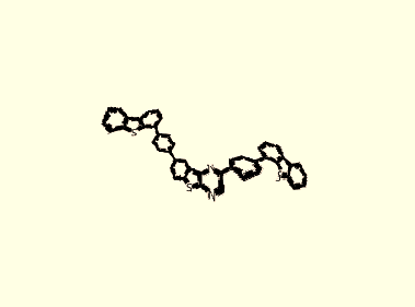 c1ccc2c(c1)sc1c(-c3ccc(-c4ccc5sc6ncc(-c7ccc(-c8cccc9c8sc8ccccc89)cc7)nc6c5c4)cc3)cccc12